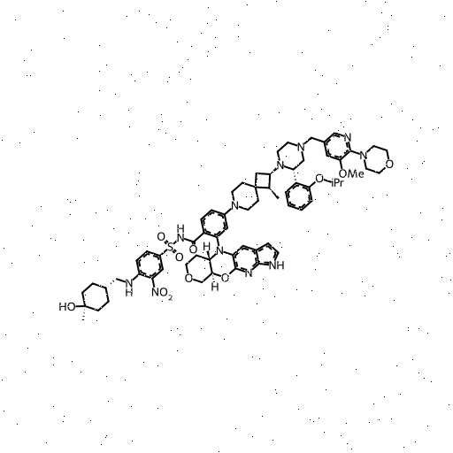 COc1cc(CN2CCN([C@@H]3CC4(CCN(c5ccc(C(=O)NS(=O)(=O)c6ccc(NC[C@H]7CC[C@](C)(O)CC7)c([N+](=O)[O-])c6)c(N6c7cc8cc[nH]c8nc7O[C@H]7COCC[C@@H]76)c5)CC4)[C@@H]3C)[C@@H](c3ccccc3OC(C)C)C2)cnc1N1CCOCC1